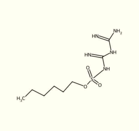 CCCCCCOS(=O)(=O)NC(=N)NC(=N)N